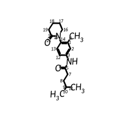 Cc1cc(NC(=O)CCC(C)C)ccc1N1CCCCC1=O